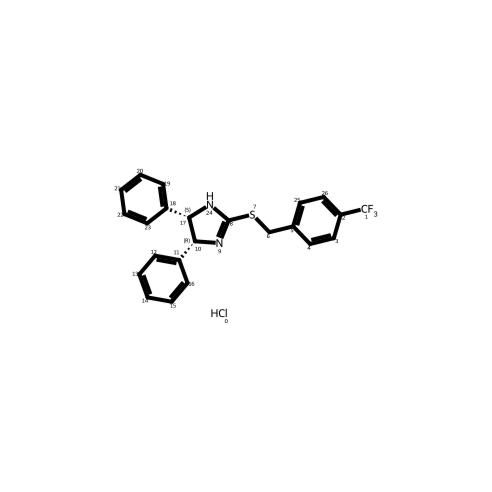 Cl.FC(F)(F)c1ccc(CSC2=N[C@H](c3ccccc3)[C@H](c3ccccc3)N2)cc1